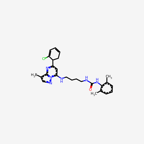 Bc1cnn2c(NCCCCNC(=O)Nc3c(C)cccc3C)cc(C3CC=CC=C3Cl)nc12